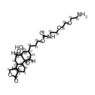 C[C@]12CCC3=C(COC3=O)C1C[C@@H]1O[C@@]13[C@H](O)C(CCCOC(=O)NCCOCCOCCN)C[C@@H]1O[C@@]132